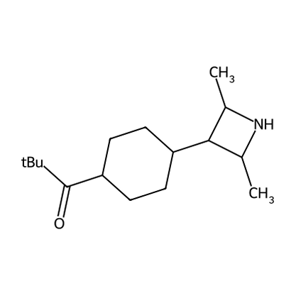 CC1NC(C)C1C1CCC(C(=O)C(C)(C)C)CC1